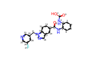 O=C(O)Nc1ccccc1NC(=O)c1ccc2c(cnn2Cc2cncc(F)c2)c1